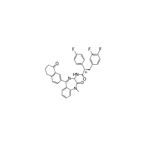 CN1C(=O)C(NC(=O)[C@H](Cc2ccc(F)c(F)c2)c2ccc(F)cc2)N=C(c2ccc3c(c2)C(=O)CCC3)c2ccccc21